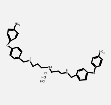 Cl.Cl.Cl.O=[N+]([O-])c1ccc(Oc2ccc(CNCCCNCCCNCc3ccc(Oc4ccc([N+](=O)[O-])cc4)cc3)cc2)cc1